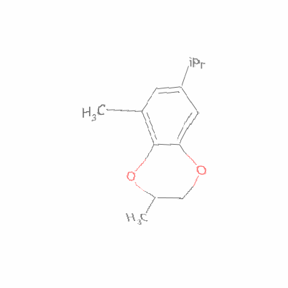 Cc1cc(C(C)C)cc2c1OC(C)CO2